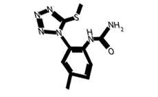 CSc1nnnn1-c1cc(C)ccc1NC(N)=O